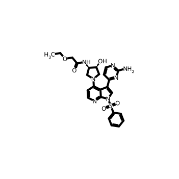 CCOCC(=O)N[C@@H]1CN(c2ccnc3c2c(-c2ccnc(N)n2)cn3S(=O)(=O)c2ccccc2)C[C@@H]1O